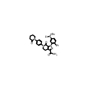 CCCCN(CC)c1ccc(C(C)C)c(-n2nc(C(N)=O)c3c2C(=O)N(c2ccc(N4CCCCC4=O)cc2)CC3)c1